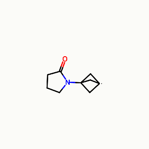 O=C1CCCN1C12C[C](C1)C2